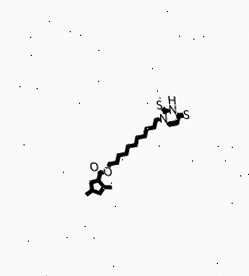 CC1CC(C)C(C(=O)OCCCCCCCCCCCn2ccc(=S)[nH]c2=S)C1